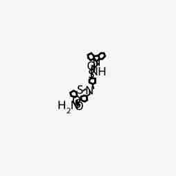 NS(=O)(=O)c1ccc(CN(CCSc2ccccc2)Cc2ccc(SNC(=O)Cn3c4ccccc4c4ccccc43)cc2)cc1